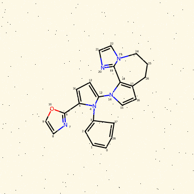 c1ccc(-n2c(-c3ncco3)ccc2-n2ccc3c2-c2nccn2CCC3)cc1